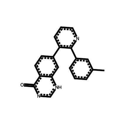 Cc1cccc(-c2ncccc2-c2ccc3c(=O)nc[nH]c3c2)c1